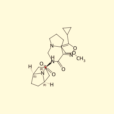 COCC1CCCN1CCS(=O)(=O)N1[C@@H]2CC[C@H]1C[C@@H](NC(=O)c1cc(C3CC3)on1)C2